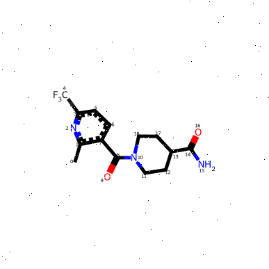 Cc1nc(C(F)(F)F)ccc1C(=O)N1CCC(C(N)=O)CC1